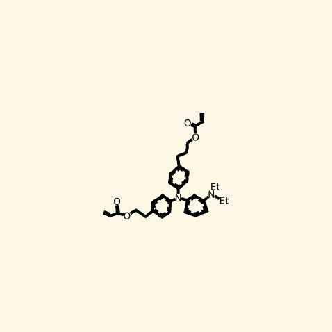 C=CC(=O)OCCCc1ccc(N(c2ccc(CCOC(=O)C=C)cc2)c2cccc(N(CC)CC)c2)cc1